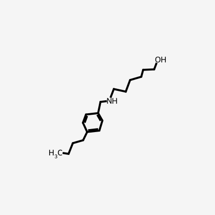 CCCCc1ccc(CNCCCCCCO)cc1